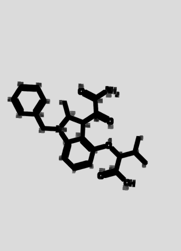 CC(C)C(Oc1cccc2c1C(C(=O)C(N)=O)C(C)N2Cc1ccccc1)C(=O)O